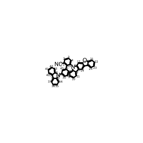 N#Cc1cccc(-n2c3ccccc3c3cc4c(cc32)oc2ccccc24)c1-c1cccc(-n2c3ccccc3c3ccccc32)c1